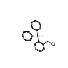 CC(c1ccccc1)(c1ccccc1)c1ccccc1CCl